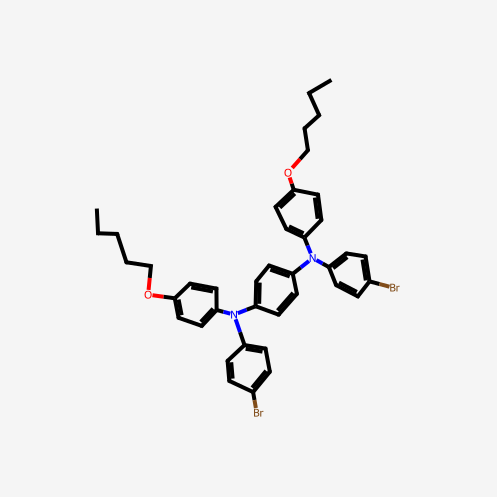 CCCCCOc1ccc(N(c2ccc(Br)cc2)c2ccc(N(c3ccc(Br)cc3)c3ccc(OCCCCC)cc3)cc2)cc1